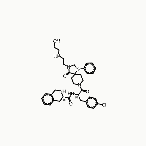 O=C(N[C@H](Cc1ccc(Cl)cc1)C(=O)N1CCC2(CC1)C(=O)N(CCNCCO)CN2c1ccccc1)[C@H]1Cc2ccccc2CN1